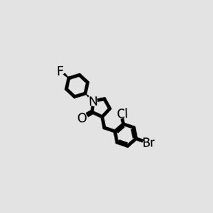 O=C1C(Cc2ccc(Br)cc2Cl)CCN1[C@H]1CC[C@H](F)CC1